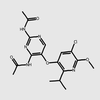 COc1nc(C(C)C)c(Oc2cnc(NC(C)=O)nc2NC(C)=O)cc1Cl